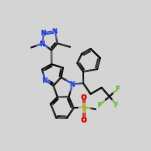 Cc1nnn(C)c1-c1cnc2c3cccc(S(C)(=O)=O)c3n(C(CCC(F)(F)F)c3ccccc3)c2c1